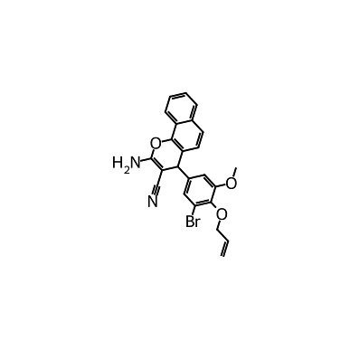 C=CCOc1c(Br)cc(C2C(C#N)=C(N)Oc3c2ccc2ccccc32)cc1OC